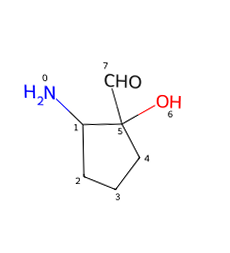 NC1CCCC1(O)C=O